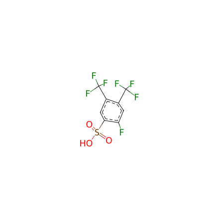 O=S(=O)(O)c1cc(C(F)(F)F)c(C(F)(F)F)cc1F